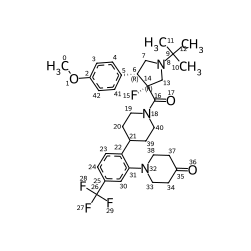 COc1ccc([C@@H]2CN(C(C)(C)C)C[C@@]2(F)C(=O)N2CCC(c3ccc(C(F)(F)F)cc3N3CCC(=O)CC3)CC2)cc1